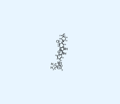 CC(C)(C)C(=O)NCc1ccc(Cl)c(Nc2nc3cc(Cl)c(N4CCC5(CC5)C4)cc3[nH]2)c1